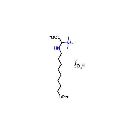 CCCCCCCCCCCCCCCCCCNC(C(=O)[O-])[N+](C)(C)C.CS(=O)(=O)O